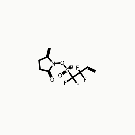 C=CC(F)(F)C(F)(F)S(=O)(=O)ON1C(=C)CCC1=O